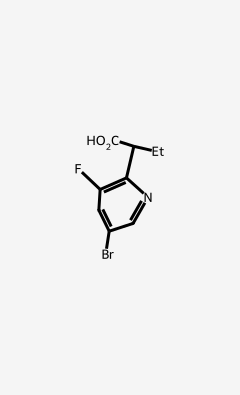 CCC(C(=O)O)c1ncc(Br)cc1F